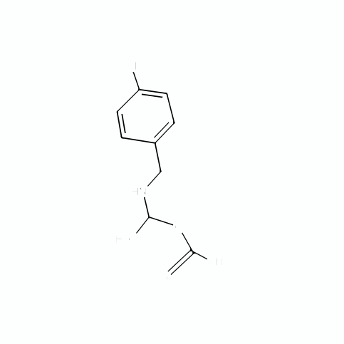 CC(=O)OC(C)NCc1ccc(Cl)cc1